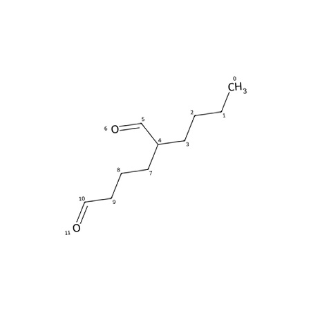 CCCCC(C=O)CCCC=O